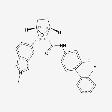 Cn1cc2cc([C@H]3[C@@H](C(=O)Nc4ccc(-c5ccccc5F)c(F)c4)[C@H]4CC[C@@H]3O4)ccc2n1